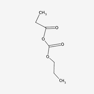 CCCOC(=O)OC(=O)CC